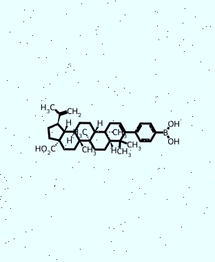 C=C(C)[C@@H]1CC[C@]2(C(=O)O)CC[C@]3(C)[C@H](CC[C@@H]4[C@@]5(C)CC=C(c6ccc(B(O)O)cc6)C(C)(C)[C@@H]5CC[C@]43C)[C@@H]12